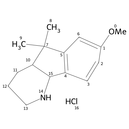 COc1ccc2c(c1)C(C)(C)C1CCCNC21.Cl